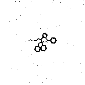 CCCCCCCCCCCCC(c1nccn1Cc1ccccc1)C(C)(Cc1ccccc1)c1ccccc1